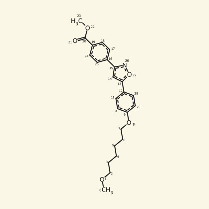 COCCCCCCOc1ccc(-c2cc(-c3ccc(C(=O)OC)cc3)no2)cc1